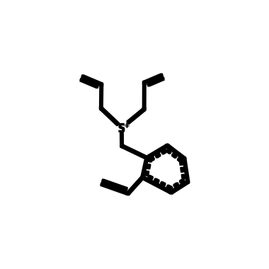 C=CC[S+](CC=C)Cc1ccccc1C=C